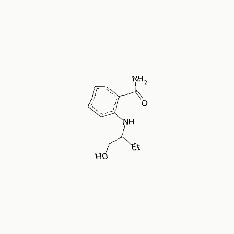 CCC(CO)Nc1ccccc1C(N)=O